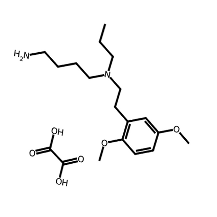 CCCN(CCCCN)CCc1cc(OC)ccc1OC.O=C(O)C(=O)O